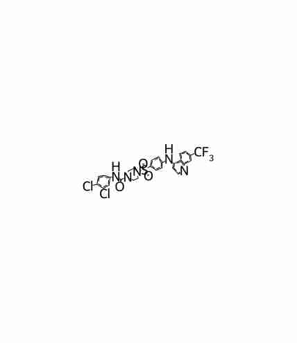 O=C(Nc1ccc(Cl)c(Cl)c1)N1CCN(S(=O)(=O)c2ccc(Nc3ccnc4cc(C(F)(F)F)ccc34)cc2)CC1